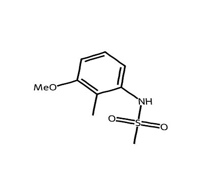 COc1cccc(NS(C)(=O)=O)c1C